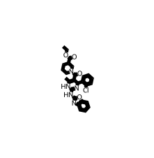 CCOC(=O)C1CCCN(C(=O)C2=C(C)NC(Nc3nc4ccccc4o3)=NC2c2ccccc2Cl)C1